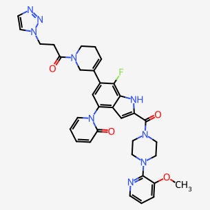 COc1cccnc1N1CCN(C(=O)c2cc3c(-n4ccccc4=O)cc(C4=CCCN(C(=O)CCn5ccnn5)C4)c(F)c3[nH]2)CC1